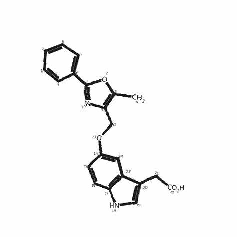 Cc1oc(-c2ccccc2)nc1COc1ccc2[nH]cc(CC(=O)O)c2c1